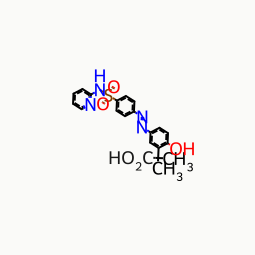 CC(C)(C(=O)O)c1cc(/N=N/c2ccc(S(=O)(=O)Nc3ccccn3)cc2)ccc1O